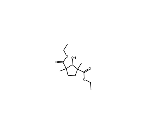 CCOC(=O)C1(C)CCC(C)(C(=O)OCC)C1O